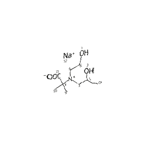 CC(O)CN(CCO)C(C)(C)C(=O)[O-].[Na+]